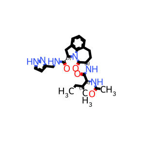 CC[C@H](C)[C@H](NC(C)=O)C(=O)N[C@H]1CCc2cccc3c2N(C1=O)[C@H](C(=O)NCc1cc[nH]n1)C3